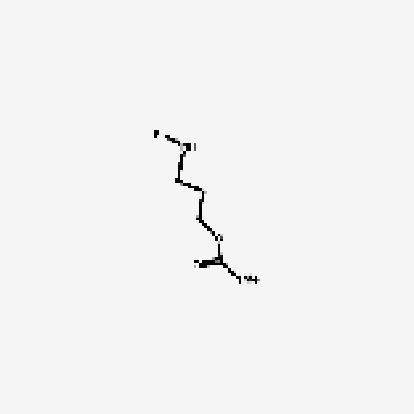 CCNCCCOC(=O)NC